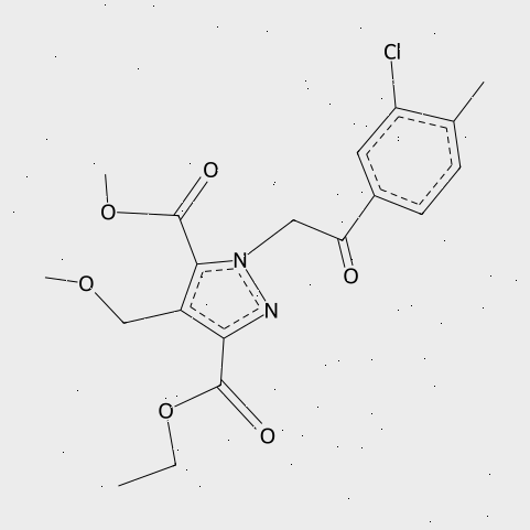 CCOC(=O)c1nn(CC(=O)c2ccc(C)c(Cl)c2)c(C(=O)OC)c1COC